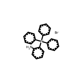 Nc1ccccc1[P+](c1ccccc1)(c1ccccc1)c1ccccc1.[Br-]